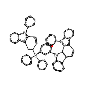 C1=CC2c3ccccc3N(c3cccc([Si](c4ccccc4)(c4ccccc4)C4C=Cc5c(c6ccccc6n5-c5ccccc5)C4)c3)C2c2c1c1ccccc1n2-c1ccccc1